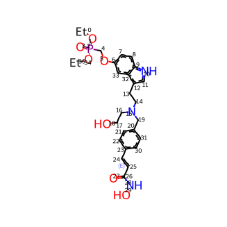 CCOP(=O)(COc1ccc2[nH]cc(CCN(CCO)Cc3ccc(/C=C/C(=O)NO)cc3)c2c1)OCC